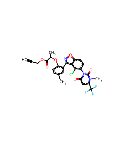 C#CCOC(=O)C(C)Oc1ccc(C)cc1-c1noc2ccc(-n3c(=O)cc(C(F)(F)F)n(C)c3=O)c(Cl)c12